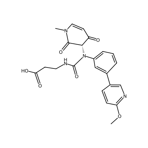 COc1ccc(-c2cccc(N(C(=O)NCCC(=O)O)[C@H]3C(=O)C=CN(C)C3=O)c2)cn1